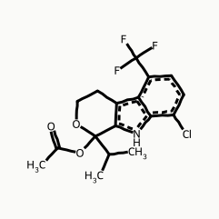 CC(=O)OC1(C(C)C)OCCc2c1[nH]c1c(Cl)ccc(C(F)(F)F)c21